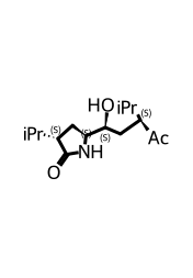 CC(=O)[C@@H](C[C@H](O)[C@@H]1C[C@@H](C(C)C)C(=O)N1)C(C)C